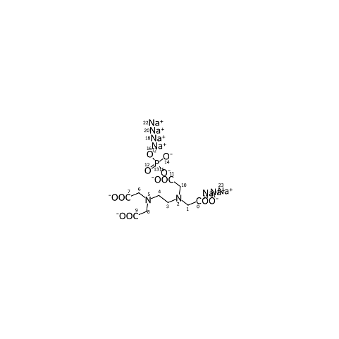 O=C([O-])CN(CCN(CC(=O)[O-])CC(=O)[O-])CC(=O)[O-].O=P([O-])([O-])[O-].[Na+].[Na+].[Na+].[Na+].[Na+].[Na+].[Na+]